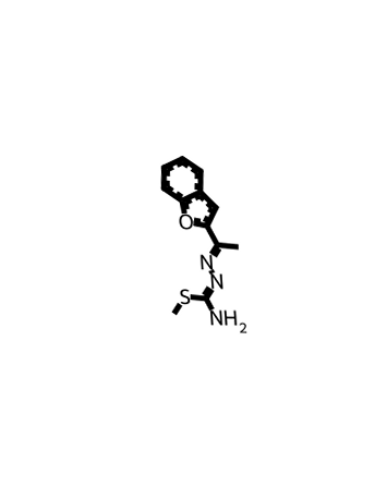 CS/C(N)=N\N=C(/C)c1cc2ccccc2o1